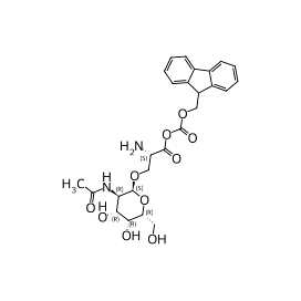 CC(=O)N[C@H]1[C@@H](OC[C@H](N)C(=O)OC(=O)OCC2c3ccccc3-c3ccccc32)O[C@H](CO)[C@H](O)[C@@H]1O